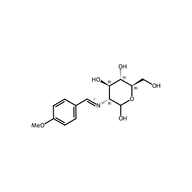 COc1ccc(/C=N/[C@H]2C(O)O[C@H](CO)[C@@H](O)[C@@H]2O)cc1